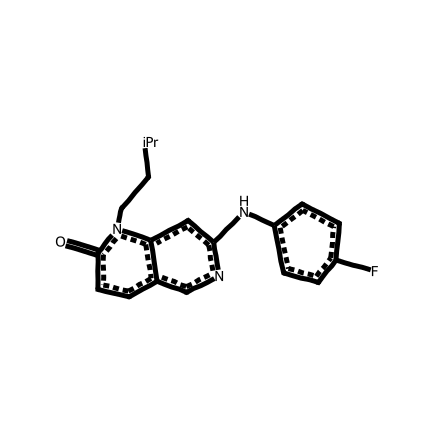 CC(C)CCn1c(=O)ccc2cnc(Nc3ccc(F)cc3)cc21